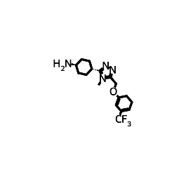 Cn1c(COC2=CC(C(F)(F)F)=CCC2)nnc1[C@H]1CC[C@H](N)CC1